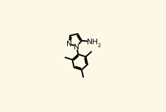 Cc1cc(C)c(-n2nccc2N)c(C)c1